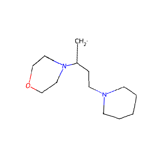 [CH2]C(CCN1CCCCC1)N1CCOCC1